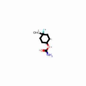 NC(=O)OC1CCC(F)(C=O)CC1